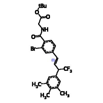 Cc1cc(C(/C=C/c2ccc(C(=O)NCC(=O)OC(C)(C)C)c(Br)c2)C(F)(F)F)cc(C)c1C